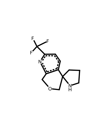 FC(F)(F)c1ccc2c(n1)COCC21CCCN1